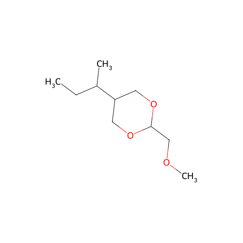 CCC(C)C1COC(COC)OC1